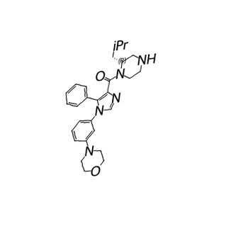 CC(C)C[C@@H]1CNCCN1C(=O)c1ncn(-c2cccc(N3CCOCC3)c2)c1-c1ccccc1